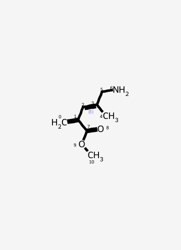 C=C(/C=C(\C)CN)C(=O)OC